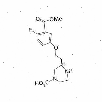 COC(=O)c1cc(OCC[C@@H]2CN(C(=O)O)CCN2)ccc1F